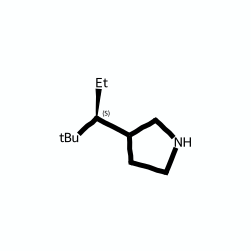 CC[C@@H](C1CCNC1)C(C)(C)C